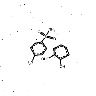 Nc1ccc(S(N)(=O)=O)cc1.O=Cc1ccccc1O